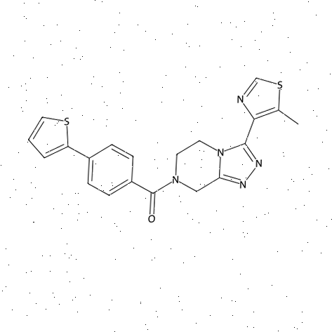 Cc1scnc1-c1nnc2n1CCN(C(=O)c1ccc(-c3cccs3)cc1)C2